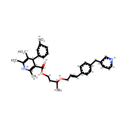 CC1=C(C(=O)O)C(c2cccc([N+](=O)[O-])c2)C(C(=O)OCCC(OC/C=C/c2ccc(Cc3cccnc3)cc2)C(C)(C)C)=C(C)N1